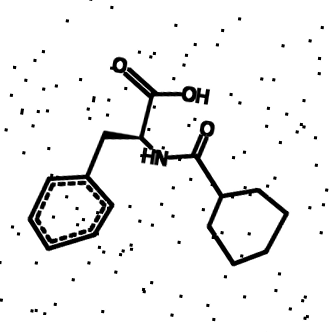 O=C(N[C@@H](Cc1ccccc1)C(=O)O)C1CCCCC1